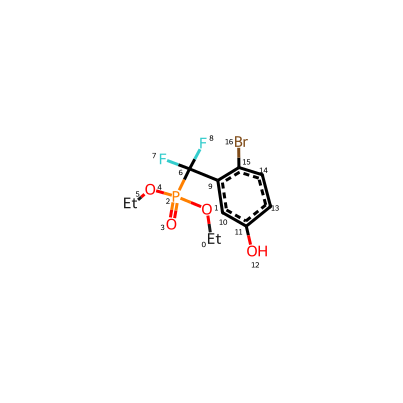 CCOP(=O)(OCC)C(F)(F)c1cc(O)ccc1Br